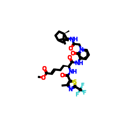 COC(=O)/C=C/CC[C@H](NC(=O)c1sc(C(F)(F)F)nc1C)C(=O)Nc1cccn(CC(=O)NC2CC3CC[C@]2(C)C3(C)C)c1=O